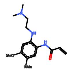 C=CC(=O)Nc1cc(NC)c(OC)cc1NCCN(C)C